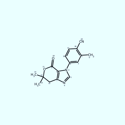 Cc1cc(-n2cnc3c2C(=O)OC(C)(C)C3)ccc1C#N